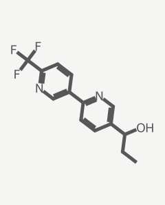 CCC(O)c1ccc(-c2ccc(C(F)(F)F)nc2)nc1